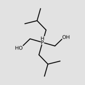 CC(C)C[PH](CO)(CO)CC(C)C